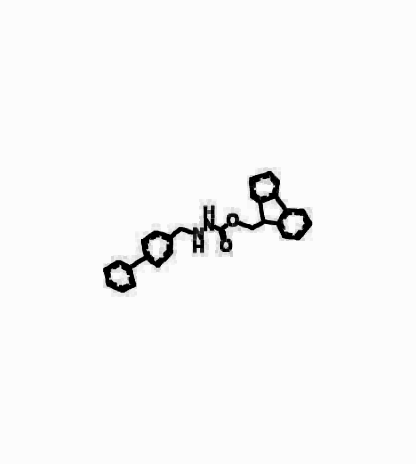 O=C(NNCc1ccc(-c2ccccc2)cc1)OCC1c2ccccc2-c2ccccc21